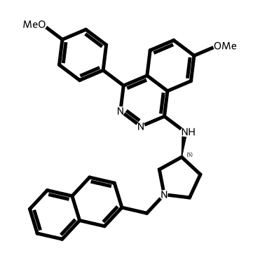 COc1ccc(-c2nnc(N[C@H]3CCN(Cc4ccc5ccccc5c4)C3)c3cc(OC)ccc23)cc1